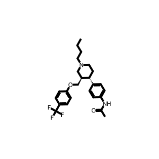 CCCCN1CC[C@H](c2ccc(NC(C)=O)cc2)[C@@H](COc2ccc(C(F)(F)F)cc2)C1